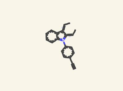 C#Cc1ccc(-n2c(=C/C)/c(=C\C)c3ccccc32)cc1